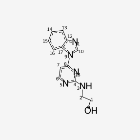 OCCNc1nccc(-n2cnc3ccccc32)n1